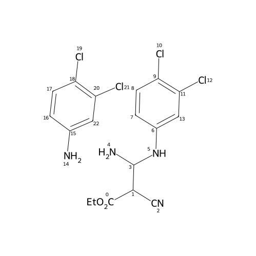 CCOC(=O)C(C#N)C(N)Nc1ccc(Cl)c(Cl)c1.Nc1ccc(Cl)c(Cl)c1